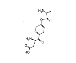 C[C@H](N)C(=O)OC1=CCC(C(=O)[C@H](N)CC(=O)O)=CC1